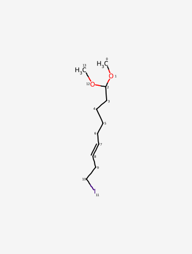 COC(CCCC/C=C/CCI)OC